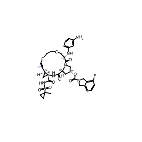 CC1(S(=O)(=O)NC(=O)[C@@]23C[C@H]2/C=C\CCCCC[C@H](Nc2cccc(N)c2)C(=O)N2C[C@H](OC(=O)N4Cc5cccc(F)c5C4)C[C@H]2C(=O)N3)CC1